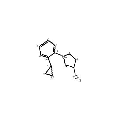 CC1CCN(c2ccccc2C2CC2)C1